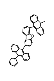 Cc1c2ccccc2c(-c2cccc3c2oc2ccc(-c4c5ccccc5c(-c5ccccc5)c5ccccc45)cc23)c2ccccc12